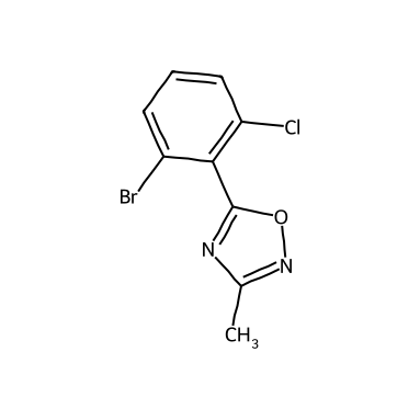 Cc1noc(-c2c(Cl)cccc2Br)n1